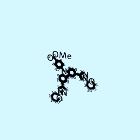 COC(=O)c1ccc(-n2c3ccc(-c4cnn(C5CCCCO5)c4)cc3c3cc(-c4cnn(C5CCCCO5)c4)ccc32)cc1